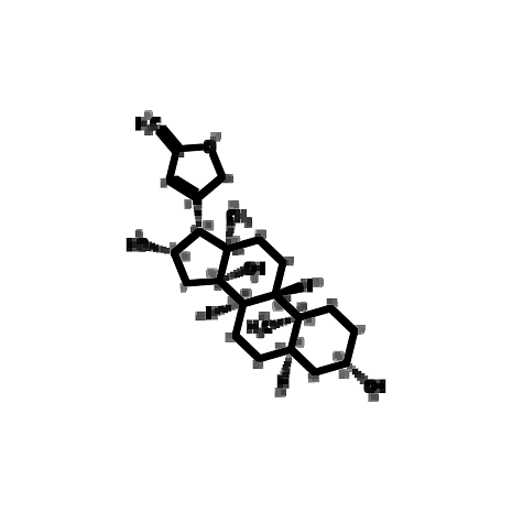 C=C1C=C([C@H]2[C@@H](O)C[C@]3(O)[C@@H]4CC[C@@H]5C[C@@H](O)CC[C@]5(C)[C@H]4CC[C@]23C)CO1